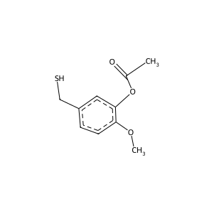 COc1ccc(CS)cc1OC(C)=O